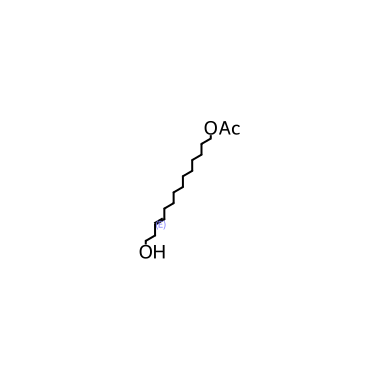 CC(=O)OCCCCCCCCCC/C=C/CCO